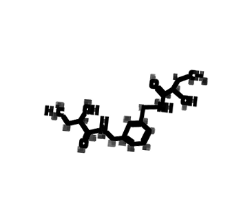 CCC(O)C(=O)NCc1cccc(CNC(=O)C(O)CC)c1